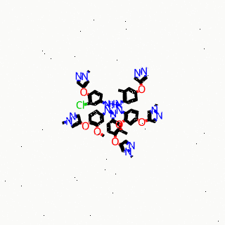 COc1cc(N(Nc2ccc(Oc3cnn(C)c3)c(Cl)c2)N(c2ccc(Oc3cnn(C)c3)c(C)c2)N(Nc2ccc(Oc3cnn(C)c3)cc2C)c2ccc(Oc3cnn(C)c3)cc2OC)ccc1Oc1cnn(C)c1